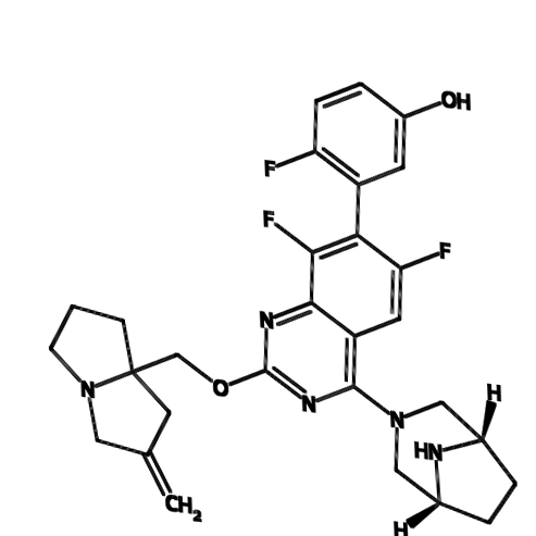 C=C1CN2CCCC2(COc2nc(N3C[C@H]4CC[C@@H](C3)N4)c3cc(F)c(-c4cc(O)ccc4F)c(F)c3n2)C1